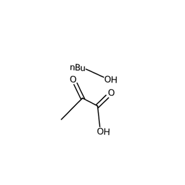 CC(=O)C(=O)O.CCCCO